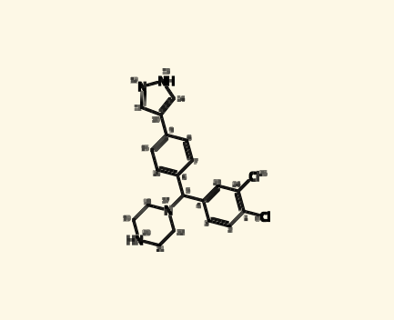 Clc1ccc(C(c2ccc(-c3cn[nH]c3)cc2)N2CCNCC2)cc1Cl